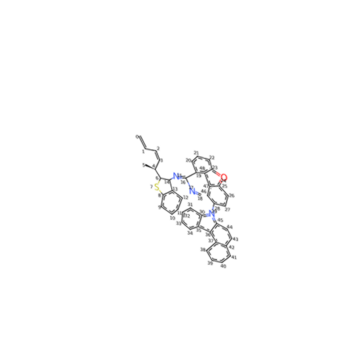 C=C/C=C\[C@H](C)C1Sc2ccccc2C1/N=C(\N=C)c1cccc2oc3ccc(-n4c5ccccc5c5c6ccccc6ccc54)cc3c12